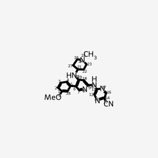 COc1cccc(-c2cnc(Nc3cnc(C#N)cn3)cc2NC2CCN(C)CC2)c1